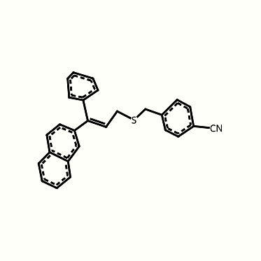 N#Cc1ccc(CSCC=C(c2ccccc2)c2ccc3ccccc3c2)cc1